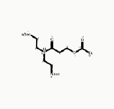 CCCCCCCCCCCC[SH](CCCCCCCCCCCC)C(=O)CCOC(=O)CC